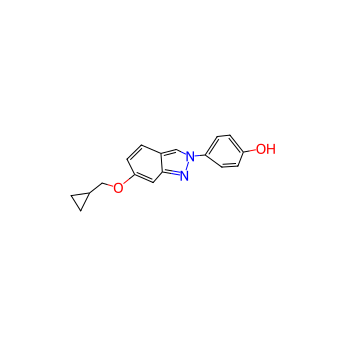 Oc1ccc(-n2cc3ccc(OCC4CC4)cc3n2)cc1